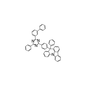 c1ccc(-c2cccc(-c3nc(-c4ccccc4)nc(-c4ccc(C5(c6ccccc6)c6ccccc6-n6c7ccccc7c7cccc5c76)cc4)n3)c2)cc1